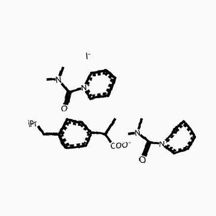 CC(C)Cc1ccc(C(C)C(=O)[O-])cc1.CN(C)C(=O)[n+]1ccccc1.CN(C)C(=O)[n+]1ccccc1.[I-]